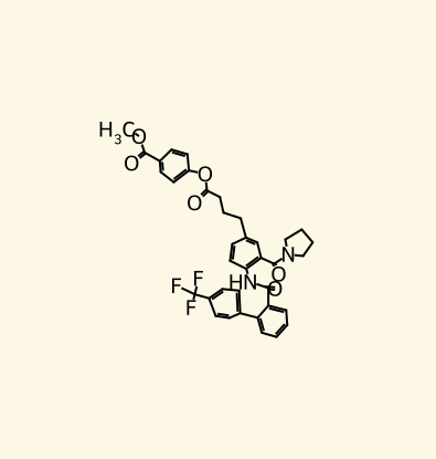 COC(=O)c1ccc(OC(=O)CCCc2ccc(NC(=O)c3ccccc3-c3ccc(C(F)(F)F)cc3)c(C(=O)N3CCCC3)c2)cc1